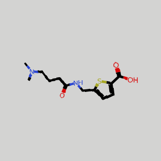 CN(C)CCCC(=O)NCc1ccc(C(=O)O)s1